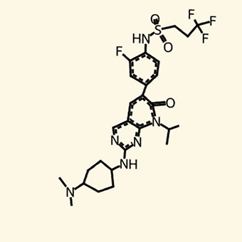 CC(C)n1c(=O)c(-c2ccc(NS(=O)(=O)CCC(F)(F)F)c(F)c2)cc2cnc(NC3CCC(N(C)C)CC3)nc21